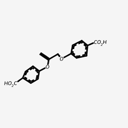 C=C(COc1ccc(C(=O)O)cc1)Oc1ccc(C(=O)O)cc1